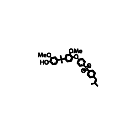 COc1cc(C(C)(C)c2ccc(Oc3ccc(S(=O)(=O)c4ccc(C=C(C)C)cc4)cc3)c(OC)c2)ccc1O